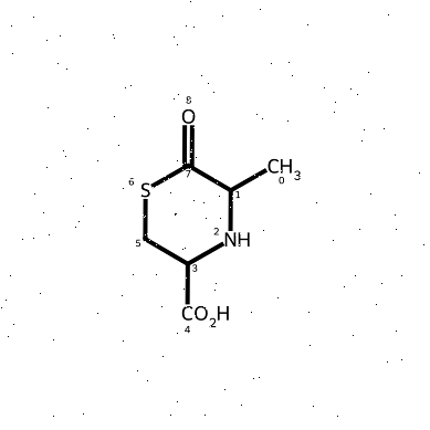 CC1NC(C(=O)O)CSC1=O